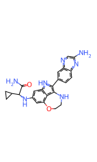 NC(=O)[C@@H](Nc1cc2c3c(c(-c4ccc5nc(N)cnc5c4)[nH]c3c1)NCCO2)C1CC1